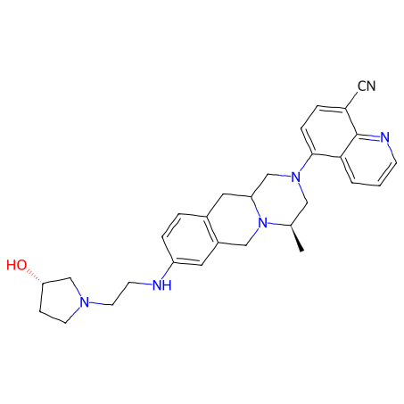 C[C@@H]1CN(c2ccc(C#N)c3ncccc23)CC2Cc3ccc(NCCN4CC[C@H](O)C4)cc3CN21